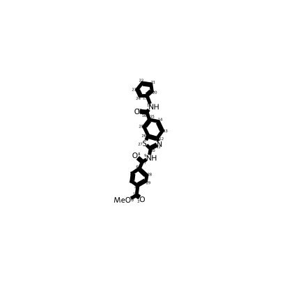 COC(=O)c1ccc(C(=O)Nc2nc3ccc(C(=O)Nc4ccccc4)cc3s2)cc1